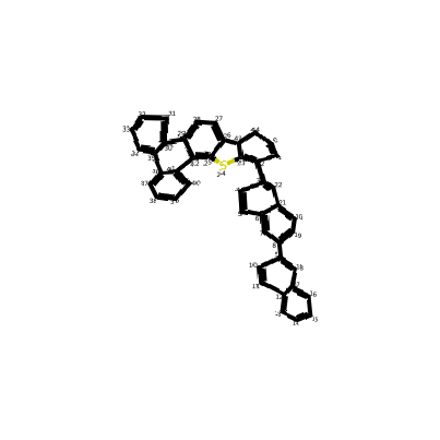 C1=CC(c2ccc3cc(-c4ccc5ccccc5c4)ccc3c2)=C2Sc3c(ccc4c5ccccc5c5ccccc5c34)C2C1